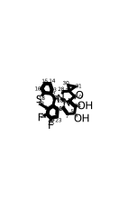 O=C1C2=C(O)C(O)C=CN2N([C@H]2c3ccccc3SCc3c2ccc(F)c3F)CC12CC2